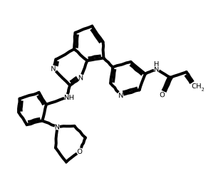 C=CC(=O)Nc1cncc(-c2cccc3cnc(Nc4ccccc4N4CCOCC4)nc23)c1